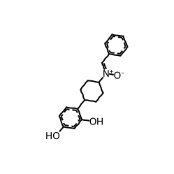 [O-]/[N+](=C\c1ccccc1)C1CCC(c2ccc(O)cc2O)CC1